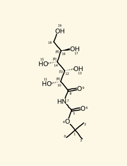 CC(C)(C)OC(=O)NC(=O)[C@H](O)[C@@H](O)[C@H](O)[C@H](O)CO